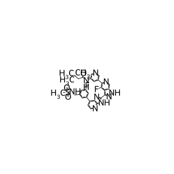 CC(C)(C)CC(=O)Nc1cncc(-c2ncc3[nH]nc(-c4nc5c(-c6cc(F)cc(CNS(C)(=O)=O)c6)ccnc5[nH]4)c3c2F)c1